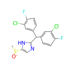 C[S+]([O-])c1cnc(C(c2ccc(F)c(Cl)c2)c2ccc(F)c(Cl)c2)[nH]1